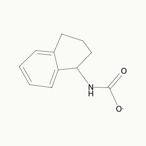 [O]C(=O)NC1CCCc2ccccc21